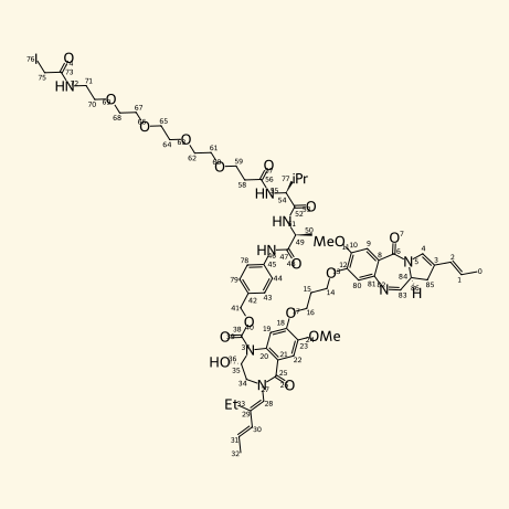 C/C=C/C1=CN2C(=O)c3cc(OC)c(OCCCOc4cc5c(cc4OC)C(=O)N(/C=C(/C=C/C)CC)C[C@H](O)N5C(=O)OCc4ccc(NC(=O)[C@H](C)NC(=O)[C@@H](NC(=O)CCOCCOCCOCCOCCNC(=O)CI)C(C)C)cc4)cc3N=C[C@@H]2C1